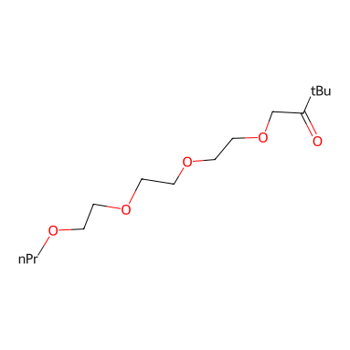 CCCOCCOCCOCCOCC(=O)C(C)(C)C